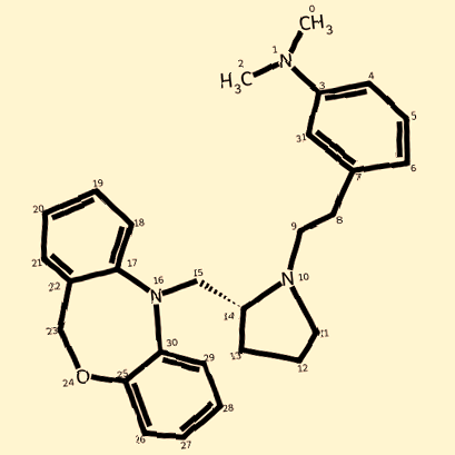 CN(C)c1cccc(CCN2CCC[C@@H]2CN2c3ccccc3COc3ccccc32)c1